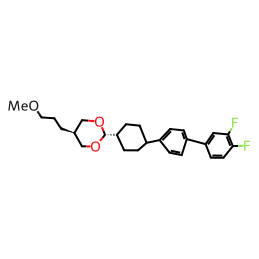 COCCC[C@H]1CO[C@H](C2CCC(c3ccc(-c4ccc(F)c(F)c4)cc3)CC2)OC1